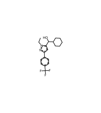 CCn1nc(-c2ccc(C(F)(F)F)cc2)cc1C(O)C1CCCCC1